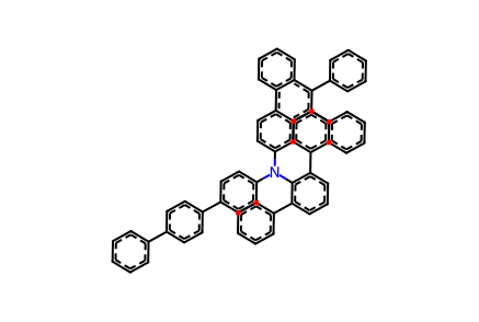 c1ccc(-c2ccc(-c3ccc(N(c4ccc5c(c4)c(-c4ccccc4)c(-c4ccccc4)c4ccccc45)c4c(-c5ccccc5)cccc4-c4ccccc4)cc3)cc2)cc1